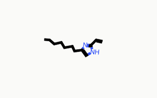 C=Cc1nc(CCCCCCC)c[nH]1